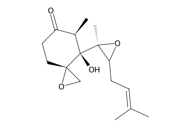 CC(C)=CCC1O[C@]1(C)[C@@]1(O)[C@H](C)C(=O)CC[C@]12CO2